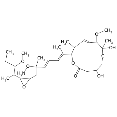 CCC(OC)C(C)C1OC1CC(C)(/C=C/C=C(\C)C1OC(=O)CC(O)CCC(C)(O)C(OC)/C=C/C1C)ON